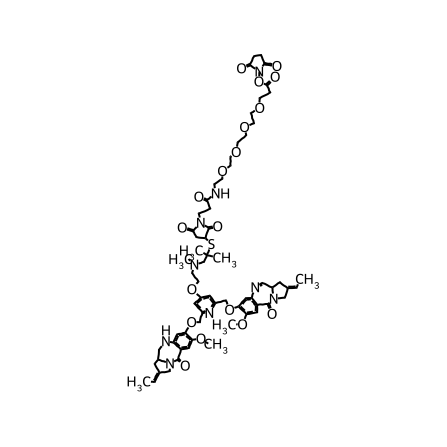 C/C=C1\CC2C=Nc3cc(OCc4cc(OCCN(C)CC(C)(C)SC5CC(=O)N(CCC(=O)NCCOCCOCCOCCOCCC(=O)ON6C(=O)CCC6=O)C5=O)cc(COc5cc6c(cc5OC)C(=O)N5C/C(=C/C)CC5CN6)n4)c(OC)cc3C(=O)N2C1